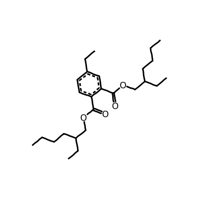 CCCCC(CC)COC(=O)c1ccc(CC)cc1C(=O)OCC(CC)CCCC